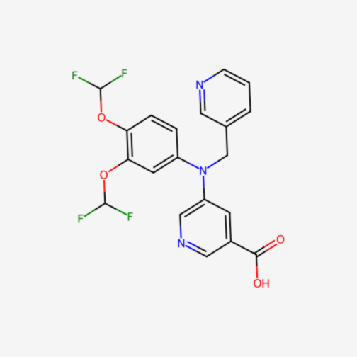 O=C(O)c1cncc(N(Cc2cccnc2)c2ccc(OC(F)F)c(OC(F)F)c2)c1